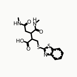 CNC(=O)CC(C(=O)NC)C(CSc1nc2ccccc2s1)C(=O)O